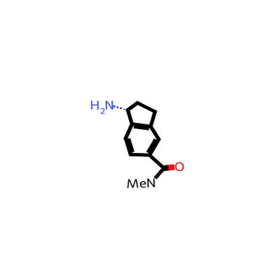 CNC(=O)c1ccc2c(c1)CC[C@H]2N